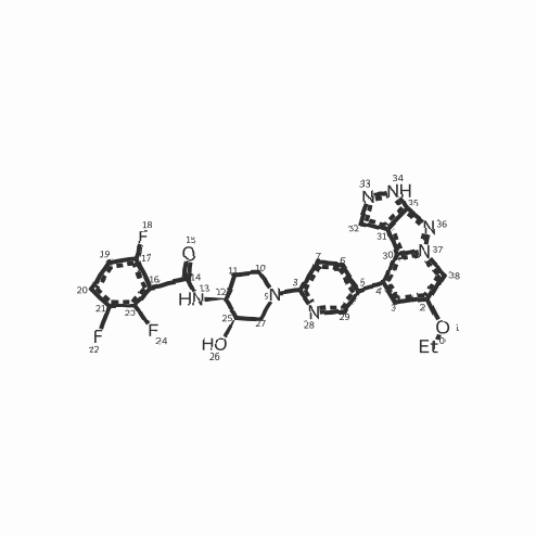 CCOc1cc(-c2ccc(N3CC[C@H](NC(=O)c4c(F)ccc(F)c4F)[C@H](O)C3)nc2)c2c3cn[nH]c3nn2c1